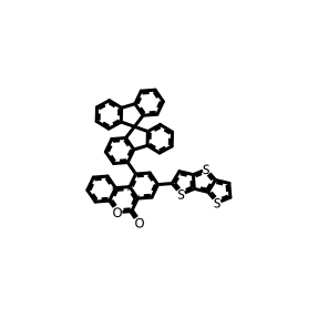 O=c1oc2ccccc2c2c(-c3cccc4c3-c3ccccc3C43c4ccccc4-c4ccccc43)cc(-c3cc4sc5ccsc5c4s3)cc12